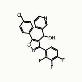 OC(c1cccnc1)c1c(-c2ccc(F)c(F)c2F)noc1-c1ccc(Cl)cc1